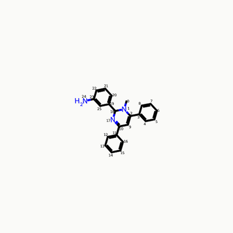 CN1C(c2ccccc2)=CC(c2ccccc2)=NC1c1cccc(N)c1